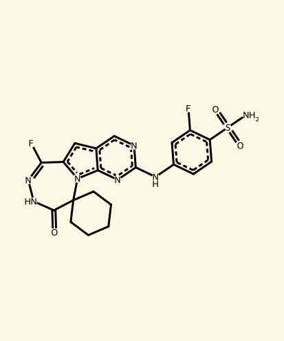 NS(=O)(=O)c1ccc(Nc2ncc3cc4n(c3n2)C2(CCCCC2)C(=O)NN=C4F)cc1F